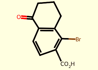 O=C(O)c1ccc2c(c1Br)CCCC2=O